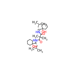 CC(C)C[C@@H](NC(=O)C(C)(C)C(=O)N[C@H](CC(C)C)C1(O)CCCCC1)C1(O)CCCCC1